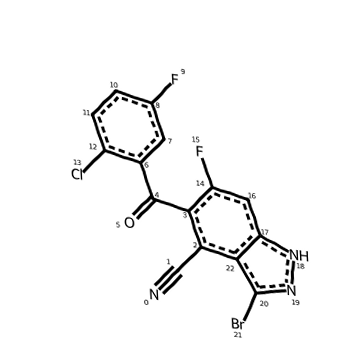 N#Cc1c(C(=O)c2cc(F)ccc2Cl)c(F)cc2[nH]nc(Br)c12